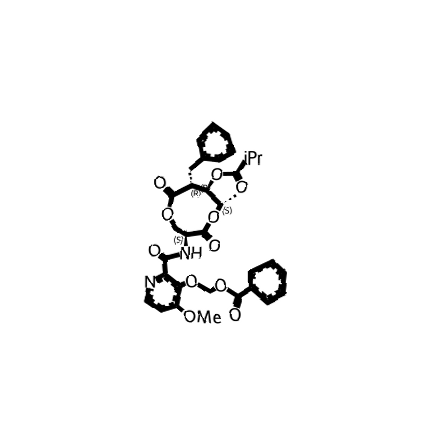 COc1ccnc(C(=O)N[C@H]2COC(=O)[C@H](Cc3ccccc3)[C@@H](OC(=O)C(C)C)[C@H](C)OC2=O)c1OCOC(=O)c1ccccc1